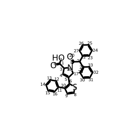 O=C(O)C1C=C(c2sccc2-c2ccccc2)CN1C(=O)C(c1ccccc1)c1ccccc1